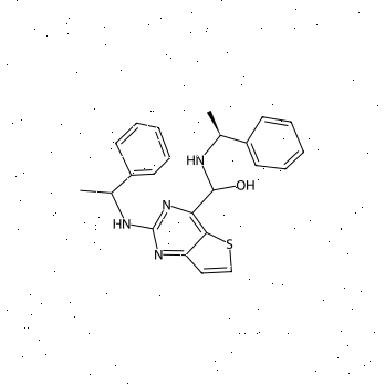 CC(Nc1nc(C(O)N[C@@H](C)c2ccccc2)c2sccc2n1)c1ccccc1